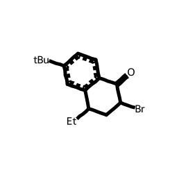 CCC1CC(Br)C(=O)c2ccc(C(C)(C)C)cc21